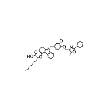 CCCCCCC(Oc1cccc2c1c1ccccc1n2Cc1ccc(OCc2nc(-c3ccccc3)oc2C)c(OC)c1)C(=O)O